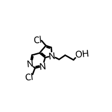 OCCCn1cc(Cl)c2cnc(Cl)nc21